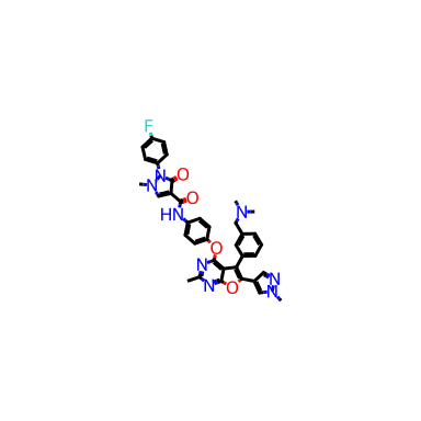 Cc1nc(Oc2ccc(NC(=O)c3cn(C)n(-c4ccc(F)cc4)c3=O)cc2)c2c(-c3cccc(CN(C)C)c3)c(-c3cnn(C)c3)oc2n1